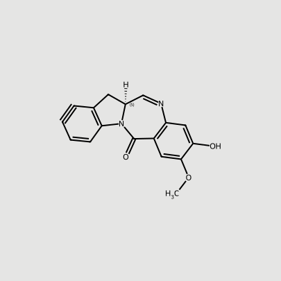 COc1cc2c(cc1O)N=C[C@@H]1Cc3c#cccc3N1C2=O